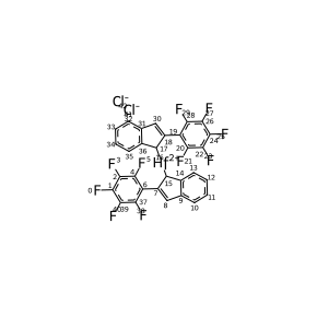 Fc1c(F)c(F)c(C2=Cc3ccccc3[CH]2[Hf+2][CH]2C(c3c(F)c(F)c(F)c(F)c3F)=Cc3ccccc32)c(F)c1F.[Cl-].[Cl-]